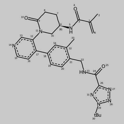 C=C(C)C(=O)N[C@@H]1CCC(=O)N(c2cnccc2-c2ccc(CNC(=O)c3nnn(C(C)(C)C)n3)c(C)c2)C1